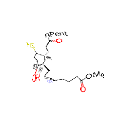 CCCCCC(=O)CC[C@H]1C(S)C[C@H](O)[C@@H]1C/C=C\CCCC(=O)OC